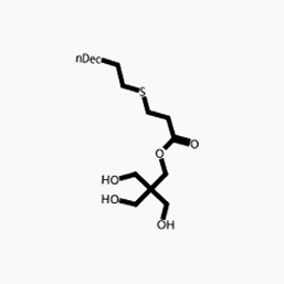 CCCCCCCCCCCCSCCC(=O)OCC(CO)(CO)CO